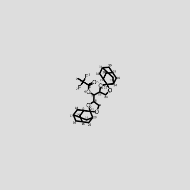 CC(F)(F)C(=O)OC(C1COC2(O1)C1CC3CC(C1)CC2C3)C1COC2(O1)C1CC3CC(C1)CC2C3